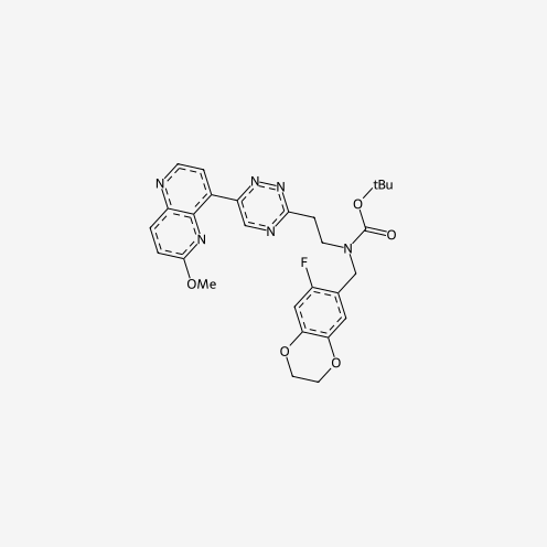 COc1ccc2nccc(-c3cnc(CCN(Cc4cc5c(cc4F)OCCO5)C(=O)OC(C)(C)C)nn3)c2n1